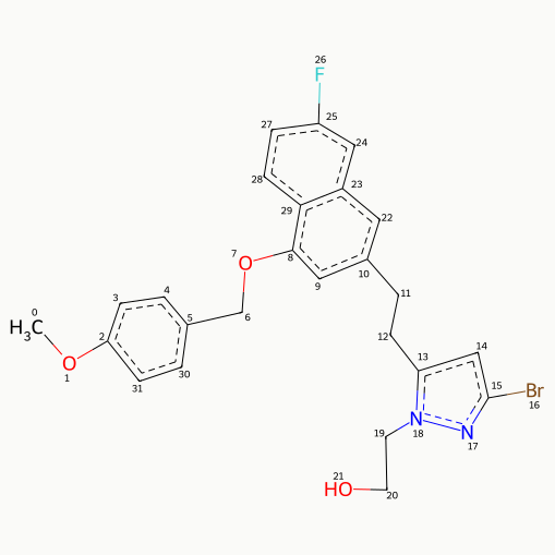 COc1ccc(COc2cc(CCc3cc(Br)nn3CCO)cc3cc(F)ccc23)cc1